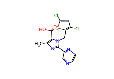 Cc1nc(-c2cnccn2)n(Cc2sc(Cl)cc2Cl)c1C(=O)O